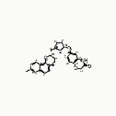 Cc1ccc2c3c(ccc2n1)OC[C@H](CN1CC[C@@H](Oc2ccc4c(c2)NC(=O)CO4)C1)O3